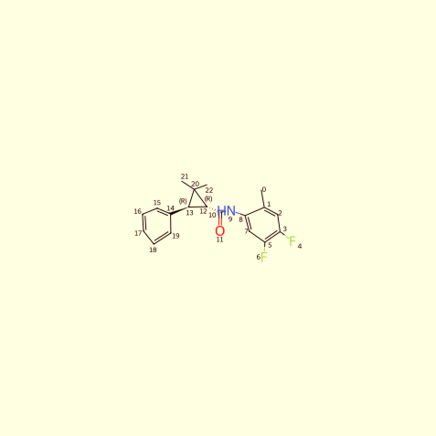 Cc1cc(F)c(F)cc1NC(=O)[C@@H]1[C@@H](c2ccccc2)C1(C)C